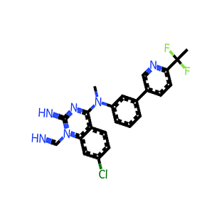 CN(c1cccc(-c2ccc(C(C)(F)F)nc2)c1)c1nc(=N)n(C=N)c2cc(Cl)ccc12